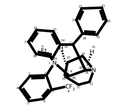 CCN(c1ccccc1C(F)(F)F)[C@@H]1C2CCN(CC2)[C@@H]1C(c1ccccc1)c1ccccc1